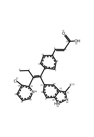 CCC(=C(c1ccc(C=CC(=O)O)cc1)c1ccc2[nH]nc(F)c2c1)c1ncccc1Cl